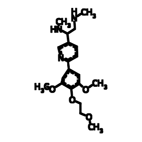 CNCC(NC)c1ccc(-c2cc(OC)c(OCCOC)c(OC)c2)nc1